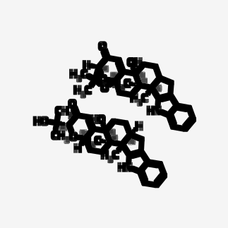 CC(C)(O)[C@H]1O[C@H]2CC[C@@]3(C)[C@@](O)(CC[C@H]4Cc5c([nH]c6ccccc56)[C@@]43C)C2=CC1=O.CC1(C)O[C@@]23CC[C@@]4(C)[C@@](O)(CCC5Cc6c([nH]c7ccccc67)[C@@]54C)C2=CC(=O)[C@@H]1O3